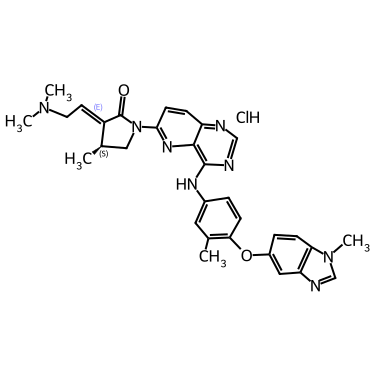 Cc1cc(Nc2ncnc3ccc(N4C[C@@H](C)/C(=C\CN(C)C)C4=O)nc23)ccc1Oc1ccc2c(c1)ncn2C.Cl